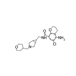 Nc1c(Cl)cc(C(=O)NCC2C3CN(CC4CCOCC4)CC23)c2c1CCCO2